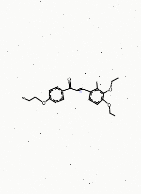 CCCOc1ccc(C(=O)/C=C/c2ccc(OCC)c(OCC)c2C)cc1